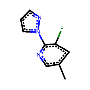 Cc1cnc(-n2cccn2)c(F)c1